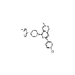 Cc1ccc2nc(-c3ccc(Cl)cc3)cc(N3CCC(C(N)=O)CC3)c2c1